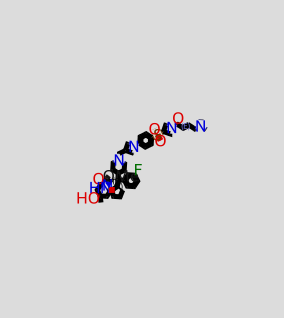 COC(=O)N[C@H]1CCC[C@@H]1[C@](CN1CCC(C)(O)CC1)(c1cccc(F)c1)C1CCN(CC2CN(c3ccc(S(=O)(=O)C4CN(C(=O)/C=C/CN(C)C)C4)cc3)C2)CC1